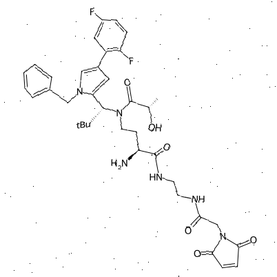 C[C@H](O)C(=O)N(CC[C@H](N)C(=O)NCCNC(=O)CN1C(=O)C=CC1=O)[C@@H](c1cc(-c2cc(F)ccc2F)cn1Cc1ccccc1)C(C)(C)C